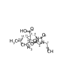 C#CCN1CC(=O)N(C[C@@]2(C(=O)O)[C@@H](C=C(C)C)C2(C)C)C1=O